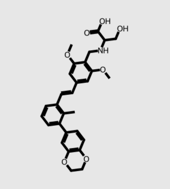 COc1cc(C=Cc2cccc(-c3ccc4c(c3)OCCO4)c2C)cc(OC)c1CNC(CO)C(=O)O